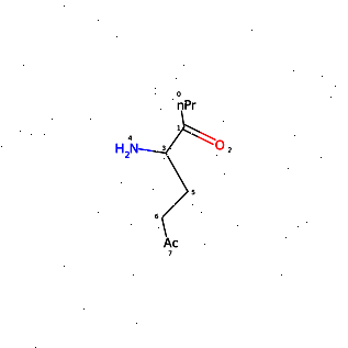 CCCC(=O)C(N)CCC(C)=O